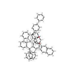 c1ccc(-c2ccc(N(c3ccc(-c4ccc5ccccc5c4)cc3)c3ccccc3C3(c4ccccc4)c4ccccc4C4(c5ccccc5)c5ccccc5-c5cccc3c54)cc2)cc1